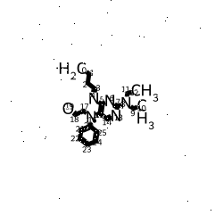 [CH2]CCC=Nc1nc(N(CC)CC)ncc1N(CC=O)c1ccccc1